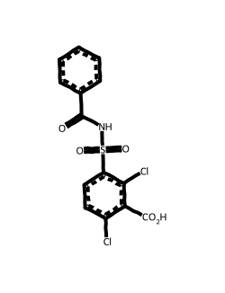 O=C(NS(=O)(=O)c1ccc(Cl)c(C(=O)O)c1Cl)c1ccccc1